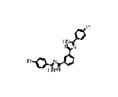 CCc1ccc(-c2nc(-c3cccc(-c4n[nH]c(-c5ccc(CC)cc5)n4)c3)n[nH]2)cc1